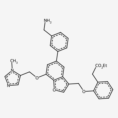 CCOC(=O)Cc1ccccc1OCc1coc2c(OCc3cncn3C)cc(-c3cccc(CN)c3)cc12